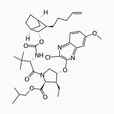 C=CCCC[C@@H]1[C@@H]2CC[C@@H](C2)[C@H]1OC(=O)N[C@H](C(=O)N1C[C@H](Oc2nc3cc(OC)ccc3nc2Cl)[C@@H](CC)[C@H]1C(=O)OCC(C)C)C(C)(C)C